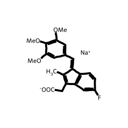 COc1cc(C=C2C(C)=C(CC(=O)[O-])c3cc(F)ccc32)cc(OC)c1OC.[Na+]